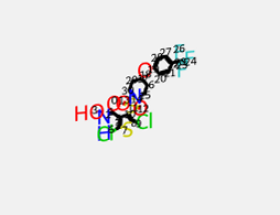 O=C(NO)c1c(Cl)sc(Cl)c1S(=O)(=O)N1CCC(Oc2ccc(C(F)(F)F)cc2)CC1